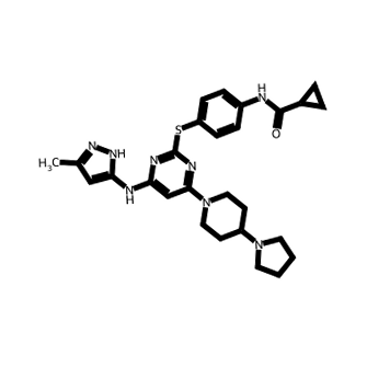 Cc1cc(Nc2cc(N3CCC(N4CCCC4)CC3)nc(Sc3ccc(NC(=O)C4CC4)cc3)n2)[nH]n1